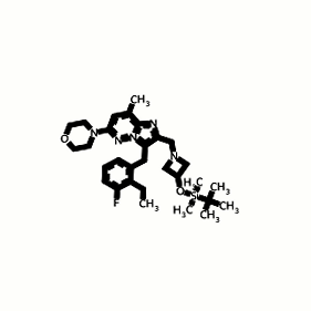 CCc1c(F)cccc1Cc1c(CN2CC(O[Si](C)(C)C(C)(C)C)C2)nc2c(C)cc(N3CCOCC3)nn12